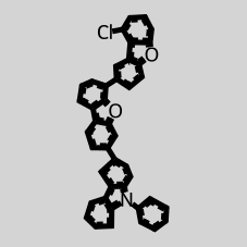 Clc1cccc2oc3ccc(-c4cccc5c4oc4cc(-c6ccc7c(c6)c6ccccc6n7-c6ccccc6)ccc45)cc3c12